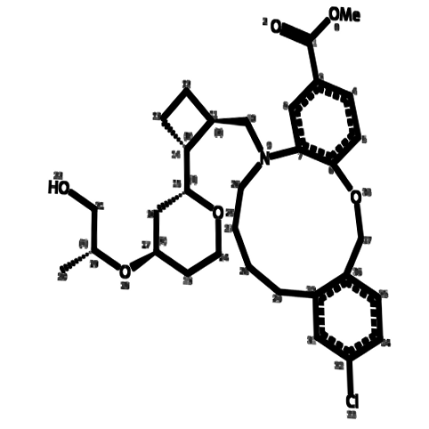 COC(=O)c1ccc2c(c1)N(C[C@@H]1CC[C@H]1[C@H]1C[C@H](O[C@H](C)CO)CCO1)CCCCc1cc(Cl)ccc1CO2